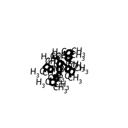 CCC(C)c1cc2c3c(c1)N(c1ccc4c(c1)C(C)(C)CCC4(C)C)c1c(sc4cc5c(cc14)C(C)(C)CCC5(C)C)B3c1cc3c(cc1N2c1cc2c(cc1C)C(C)(C)CCC2(C)C)C(C)(C)CCC3(C)C